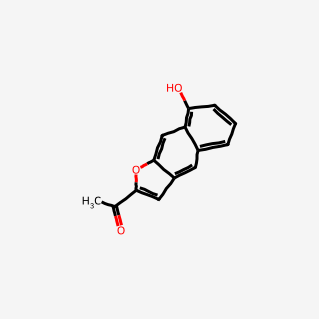 CC(=O)c1cc2cc3cccc(O)c3cc2o1